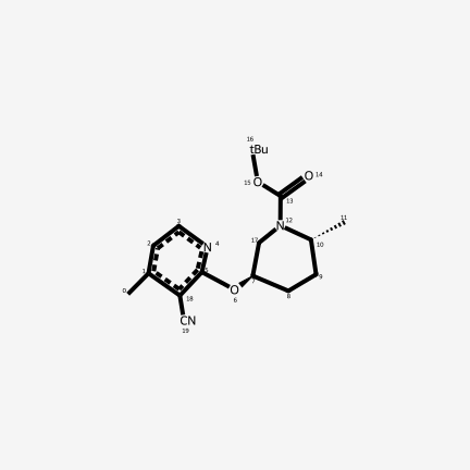 Cc1ccnc(O[C@@H]2CC[C@@H](C)N(C(=O)OC(C)(C)C)C2)c1C#N